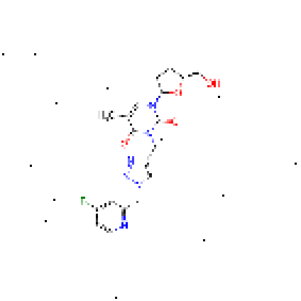 Cc1cn([C@H]2CC[C@@H](CO)O2)c(=O)n(Cc2cn(Cc3cc(F)ccn3)nn2)c1=O